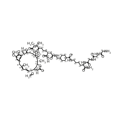 COc1cc2cc(c1Cl)N(C)C(=O)C[C@H](OC(=O)[C@H](C)N(C)C(=O)CCS[C@@H](CC(=O)NCC1CCC(C(=O)NCCCCC(NC(=O)CNC(=O)CNC(=O)CN)C(N)=O)CC1)C(=O)O)C1(C)OC1[C@H](C)C1CC(NC(=O)O1)[C@H](OC)/C=C/C=C(\C)C2